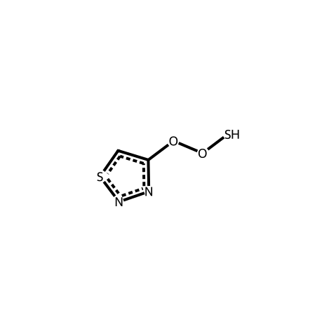 SOOc1csnn1